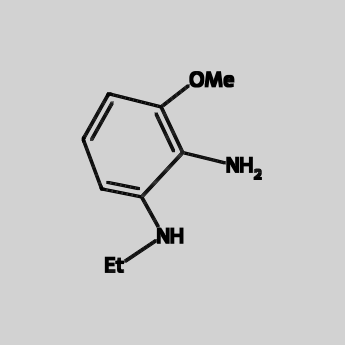 CCNc1cccc(OC)c1N